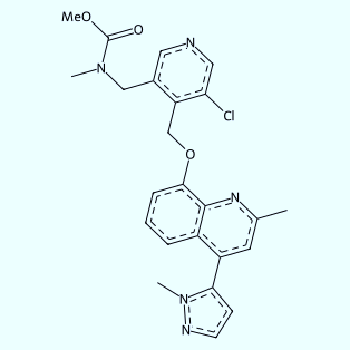 COC(=O)N(C)Cc1cncc(Cl)c1COc1cccc2c(-c3ccnn3C)cc(C)nc12